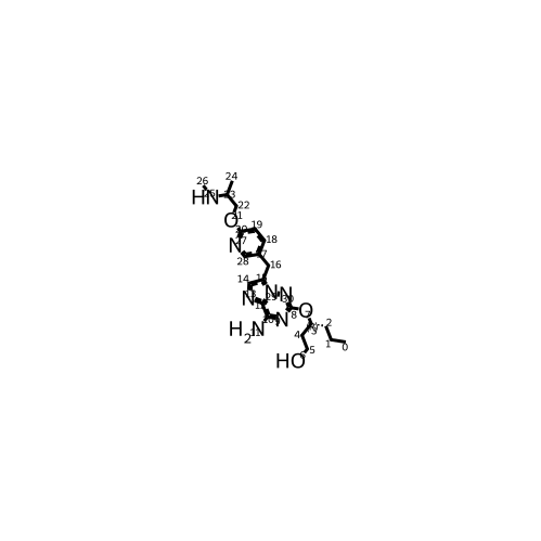 CCC[C@H](CCO)Oc1nc(N)c2ncc(Cc3ccc(OCC(C)NC)nc3)n2n1